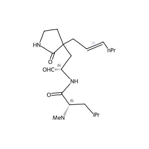 CCC/C=C/CC1(C[C@@H](C=O)NC(=O)[C@H](CC(C)C)NC)CCNC1=O